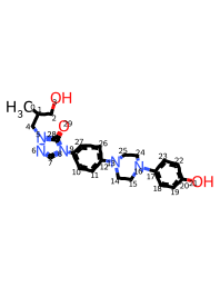 CC(CO)Cn1ncn(-c2ccc(N3CCN(c4ccc(O)cc4)CC3)cc2)c1=O